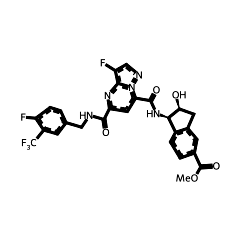 COC(=O)c1ccc2c(c1)C[C@H](O)[C@@H]2NC(=O)c1cc(C(=O)NCc2ccc(F)c(C(F)(F)F)c2)nc2c(F)cnn12